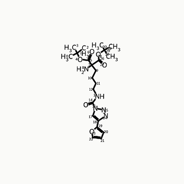 CC(C)(C)OC(=O)C(N)(CCCCNC(=O)n1cc(-c2ccco2)nn1)C(=O)OC(C)(C)C